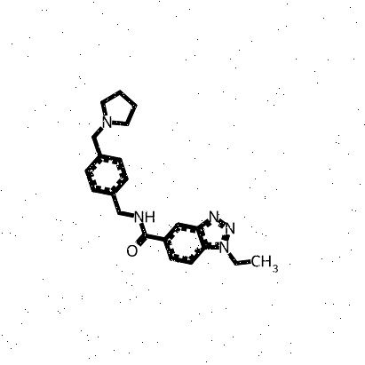 CCn1nnc2cc(C(=O)NCc3ccc(CN4CCCC4)cc3)ccc21